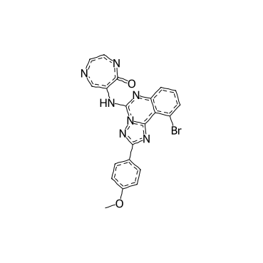 COc1ccc(-c2nc3c4c(Br)cccc4nc(Nc4cnccnc4=O)n3n2)cc1